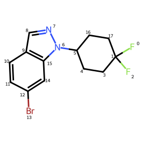 FC1(F)CCC(n2ncc3ccc(Br)cc32)CC1